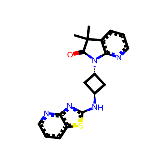 CC1(C)C(=O)N([C@H]2C[C@H](Nc3nc4ncccc4s3)C2)c2ncccc21